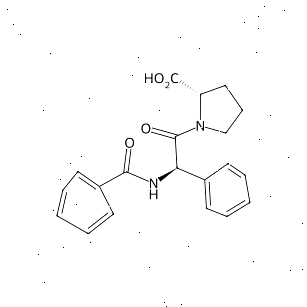 O=C(N[C@@H](C(=O)N1CCC[C@H]1C(=O)O)c1ccccc1)c1ccccc1